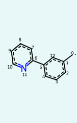 [CH2]c1cccc(-c2ccccn2)c1